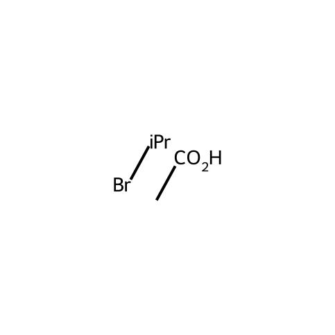 CC(=O)O.CC(C)Br